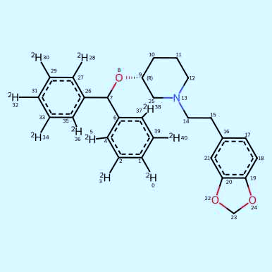 [2H]c1c([2H])c([2H])c(C(O[C@@H]2CCCN(CCc3ccc4c(c3)OCO4)C2)c2c([2H])c([2H])c([2H])c([2H])c2[2H])c([2H])c1[2H]